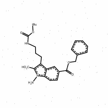 CC(C)(C)OC(=O)NCCCc1c(C(=O)O)n(N)c2ccc(C(=O)OCc3ccccc3)cc12